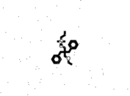 CCC[Si](C)(C)OCC(COCC)(Cc1ccccc1)Cc1ccccc1